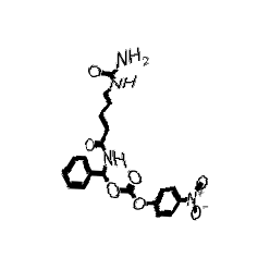 NC(=O)NCCCCC(=O)NC(OC(=O)Oc1ccc([N+](=O)[O-])cc1)c1ccccc1